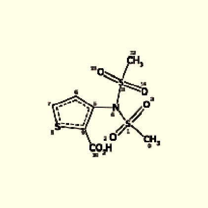 CS(=O)(=O)N(c1ccsc1C(=O)O)S(C)(=O)=O